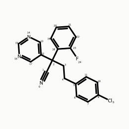 N#CC(CCc1ccc(Cl)cc1)(c1cncnc1)c1ccccc1F